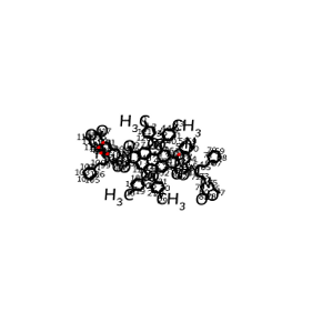 Cc1ccc(Oc2cc3c4c(cc(Oc5ccc(C)cc5)c5c6c(Oc7ccc(C)cc7)cc7c8c(cc(Oc9ccc(C)cc9)c(c2c45)c86)C(=O)N(C(Cc2cccnc2)C(=O)N(CCc2ccccc2)CCN(CC2CO2)CC2CO2)C7=O)C(=O)N(C(Cc2cccnc2)C(=O)N(CCc2ccccc2)CCN(CC2CO2)CC2CO2)C3=O)cc1